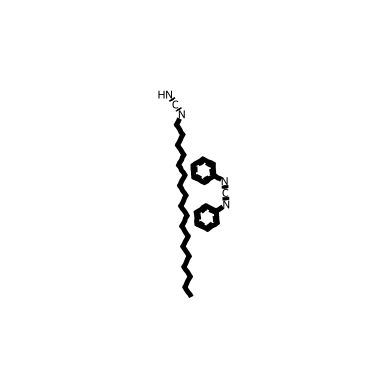 C(=Nc1ccccc1)=Nc1ccccc1.CCCCCCCCCCCCCCCCCCN=C=N